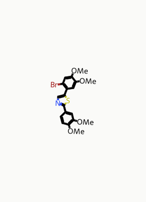 COc1ccc(-c2ncc(-c3cc(OC)c(OC)cc3Br)s2)cc1OC